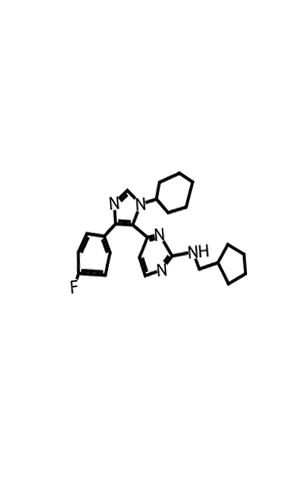 Fc1ccc(-c2ncn(C3CCCCC3)c2-c2ccnc(NCC3CCCC3)n2)cc1